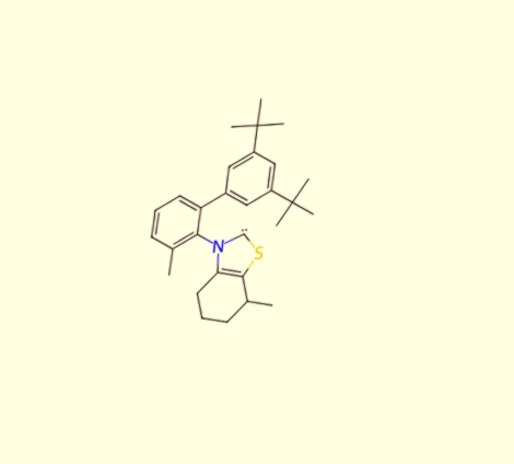 Cc1cccc(-c2cc(C(C)(C)C)cc(C(C)(C)C)c2)c1N1[C]SC2=C1CCCC2C